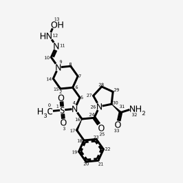 CS(=O)(=O)N(CC1CCN(C=NNO)CC1)[C@H](Cc1ccccc1)C(=O)N1CCC[C@H]1C(N)=O